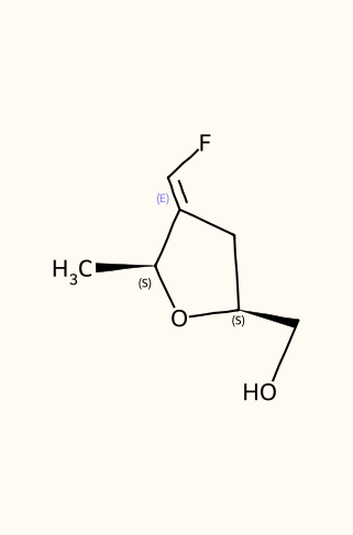 C[C@@H]1O[C@H](CO)C/C1=C\F